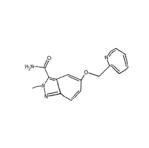 Cn1nc2ccc(OCc3ccccn3)cc2c1C(N)=O